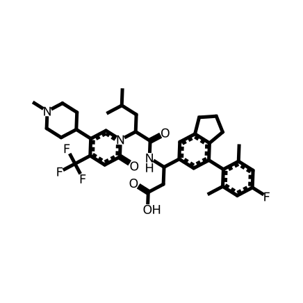 Cc1cc(F)cc(C)c1-c1cc(C(CC(=O)O)NC(=O)C(CC(C)C)n2cc(C3CCN(C)CC3)c(C(F)(F)F)cc2=O)cc2c1CCC2